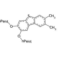 CCCCCOc1cc2sc3cc(C)c(C)cc3c2cc1OCCCCC